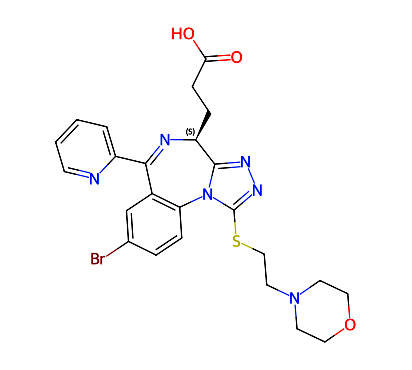 O=C(O)CC[C@@H]1N=C(c2ccccn2)c2cc(Br)ccc2-n2c(SCCN3CCOCC3)nnc21